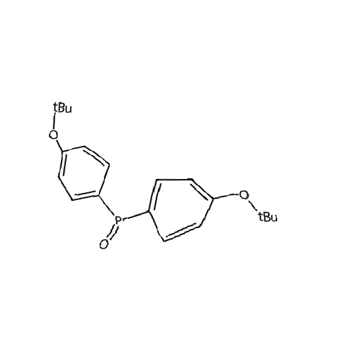 CC(C)(C)Oc1ccc([P](=O)c2ccc(OC(C)(C)C)cc2)cc1